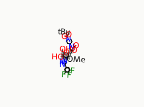 CO[C@@H]1[C@@H](n2cc(-c3cc(F)c(F)c(F)c3)nn2)[C@@H](O)[C@@H](CO)O[C@@H]1C[C@H]1CN(C2CCN(C(=O)OC(C)(C)C)CC2)C(=O)O1